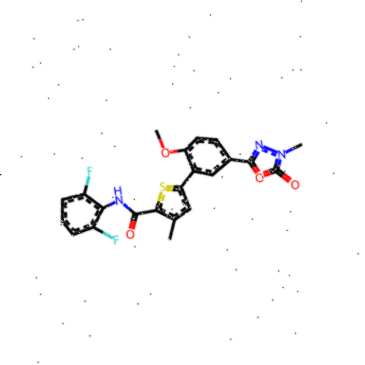 COc1ccc(-c2nn(C)c(=O)o2)cc1-c1cc(C)c(C(=O)Nc2c(F)cccc2F)s1